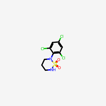 O=S1(=O)NCCCN1c1c(Cl)cc(Cl)cc1Cl